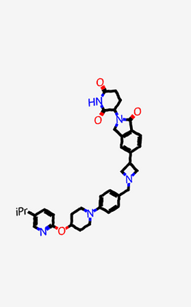 CC(C)c1ccc(OC2CCN(c3ccc(CN4CC(c5ccc6c(c5)CN(C5CCC(=O)NC5=O)C6=O)C4)cc3)CC2)nc1